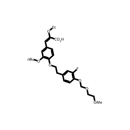 CCCCOc1cc(/C=C(/OCC)C(=O)O)ccc1OCCc1ccc(OCOCCOC)c(F)c1